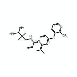 C=C/C(=N\C(/N=C(\C=C)Sc1cccnc1C(F)(F)F)=C(C)C)NCC(C)(C)C(CCC)CCC